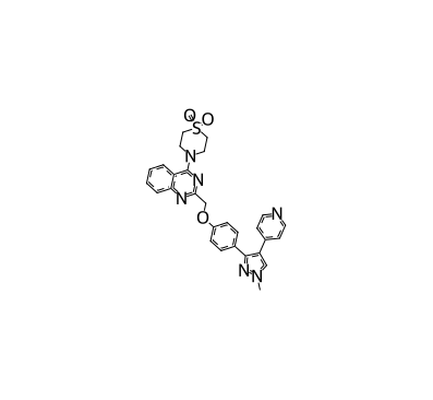 Cn1cc(-c2ccncc2)c(-c2ccc(OCc3nc(N4CCS(=O)(=O)CC4)c4ccccc4n3)cc2)n1